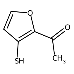 CC(=O)c1occc1S